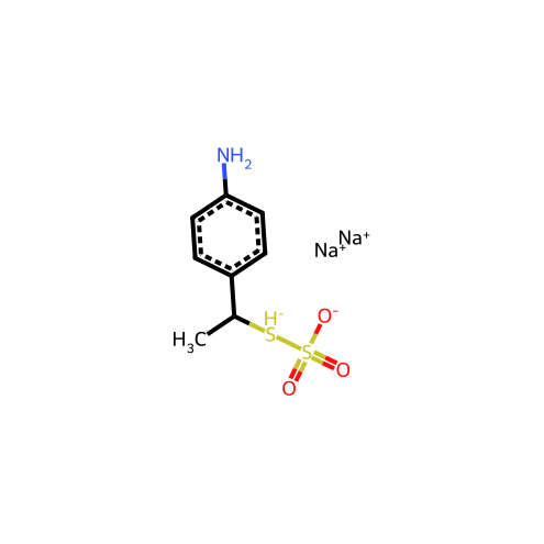 CC([SH-]S(=O)(=O)[O-])c1ccc(N)cc1.[Na+].[Na+]